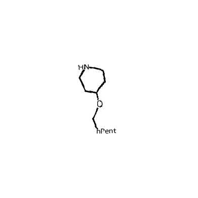 CCCCCCOC1CCNCC1